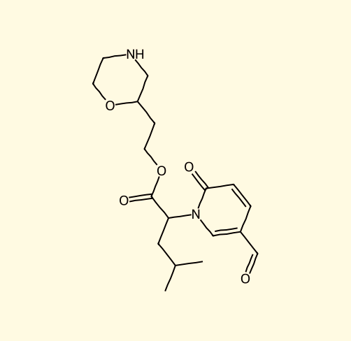 CC(C)CC(C(=O)OCCC1CNCCO1)n1cc(C=O)ccc1=O